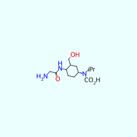 CC(C)N(C(=O)O)[C@H]1CCC(NC(=O)CN)C(CO)C1